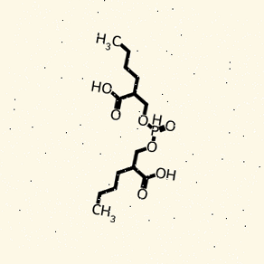 CCCCC(CO[PH](=O)OCC(CCCC)C(=O)O)C(=O)O